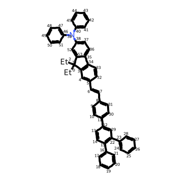 CCC1(CC)c2cc(/C=C/c3ccc(-c4ccc(-c5ccccc5)c(-c5ccccc5)c4)cc3)ccc2-c2ccc(N(c3ccccc3)c3ccccc3)cc21